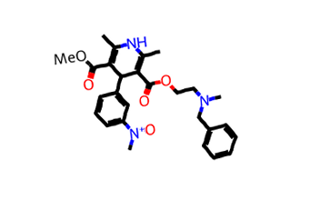 COC(=O)C1=C(C)NC(C)=C(C(=O)OCCN(C)Cc2ccccc2)C1c1cccc([N+](C)=O)c1